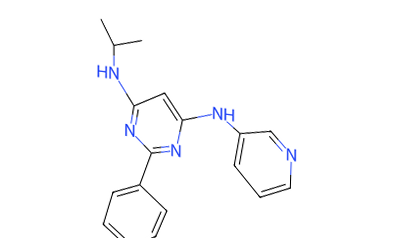 CC(C)Nc1cc(Nc2cccnc2)nc(-c2ccccc2)n1